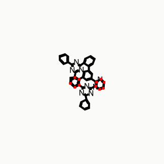 c1ccc(-c2nc(-c3ccccc3)nc(-c3ccccc3-c3cc(-c4ncccn4)cc(-c4ccccc4-c4nc(-c5ccccc5)nc(-c5ccccc5)n4)c3)n2)cc1